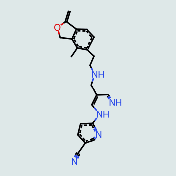 C=C1OCc2c1ccc(CCNC/C(C=N)=C/Nc1ccc(C#N)cn1)c2C